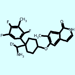 CCC(N)C1(c2cc(F)c(F)c(C)c2F)CCC(Oc2cc3cc[nH]c(=O)c3cc2C)CC1